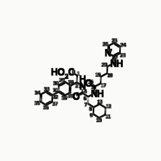 O=C(O)CC(NC(=O)[C@@H](CC1CCCCC1)NC(=O)CCCCNc1ccccn1)c1ccc(-c2ccccc2)cc1